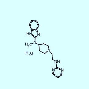 CN(c1nc2ccccc2[nH]1)C1CCN(CCNc2ncccn2)CC1.O